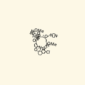 COc1nn(C)cc1C(=O)N[S@@]1(=O)=NC(=O)c2ccc3c(c2)N(C[C@@H]2CC[C@H]2[C@@H](OC)/C=C/[C@H](OCCN2CCN(C)CC2)[C@H](C)C1)C[C@@]1(CCCc2cc(Cl)ccc21)CO3